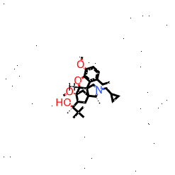 CCc1ccc(OC)c2c1C13CN(CC4CC4)[C@H](C)C14CC([C@](C)(O)C(C)(C)C)[C@](OC)(C4)[C@@H]3O2